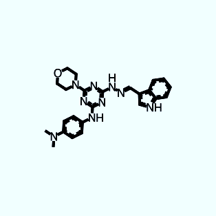 CN(C)c1ccc(Nc2nc(N/N=C/c3c[nH]c4ccccc34)nc(N3CCOCC3)n2)cc1